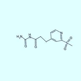 CS(=O)(=O)c1cc([CH]CC(=O)NC(N)=O)ccn1